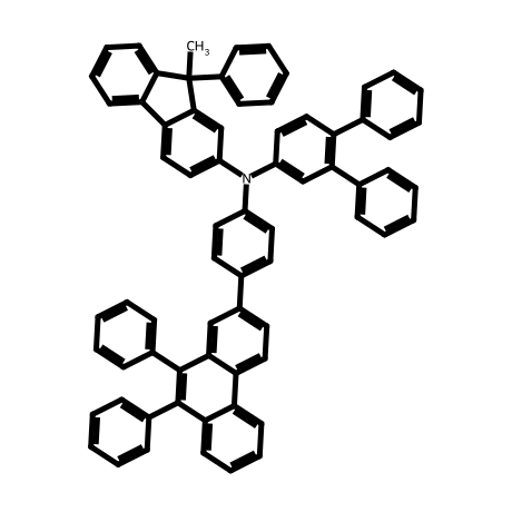 CC1(c2ccccc2)c2ccccc2-c2ccc(N(c3ccc(-c4ccc5c(c4)c(-c4ccccc4)c(-c4ccccc4)c4ccccc45)cc3)c3ccc(-c4ccccc4)c(-c4ccccc4)c3)cc21